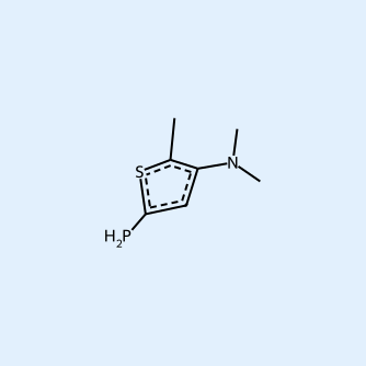 Cc1sc(P)cc1N(C)C